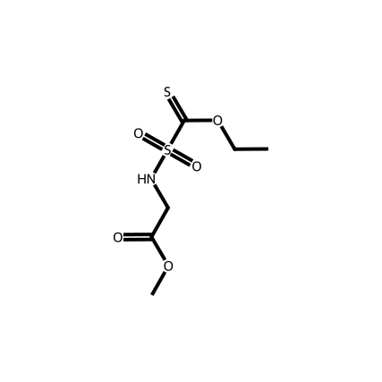 CCOC(=S)S(=O)(=O)NCC(=O)OC